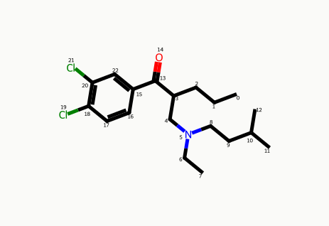 CCCC(CN(CC)CCC(C)C)C(=O)c1ccc(Cl)c(Cl)c1